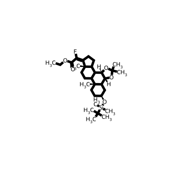 CCOC(=O)/C(F)=C1/CCC2C3C(CC[C@]12C)[C@@]1(C)CC[C@H](O[Si](C)(C)C(C)(C)C)CC1[C@H]1OC(C)(C)O[C@H]31